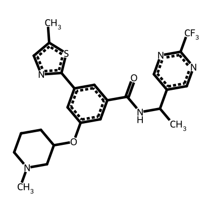 Cc1cnc(-c2cc(OC3CCCN(C)C3)cc(C(=O)NC(C)c3cnc(C(F)(F)F)nc3)c2)s1